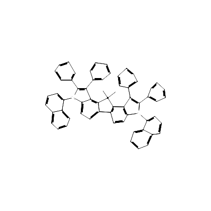 CC1(C)c2c(ccc3c2c(-c2ccccc2)c(-c2ccccc2)n3-c2cccc3ccccc23)-c2ccc3c(c(-c4ccccc4)c(-c4ccccc4)n3-c3cccc4ccccc34)c21